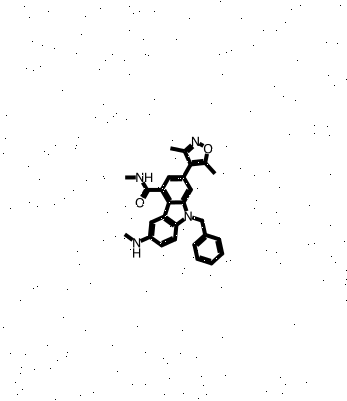 CNC(=O)c1cc(-c2c(C)noc2C)cc2c1c1cc(NC)ccc1n2Cc1ccccc1